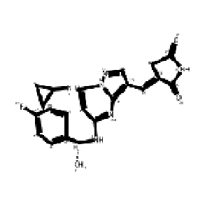 C[C@@H](Nc1cc(NC2CC2)n2ncc(C=C3CC(=O)NC3=O)c2n1)c1ccc(F)cc1